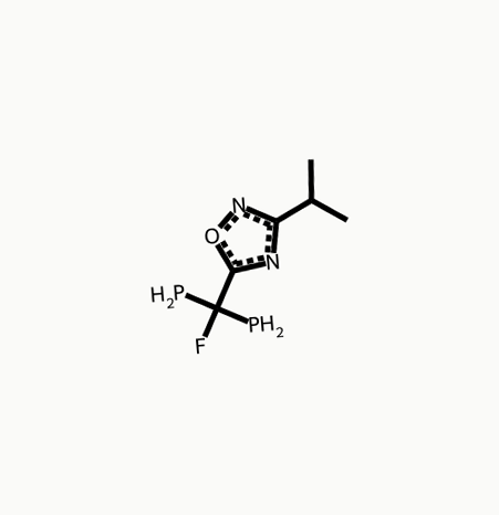 CC(C)c1noc(C(F)(P)P)n1